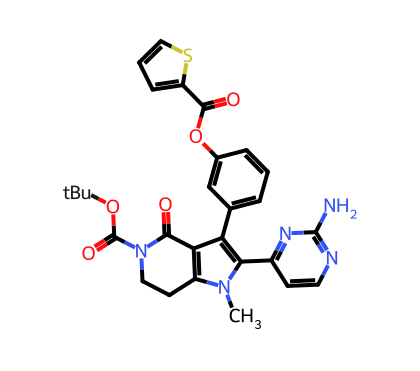 Cn1c2c(c(-c3cccc(OC(=O)c4cccs4)c3)c1-c1ccnc(N)n1)C(=O)N(C(=O)OC(C)(C)C)CC2